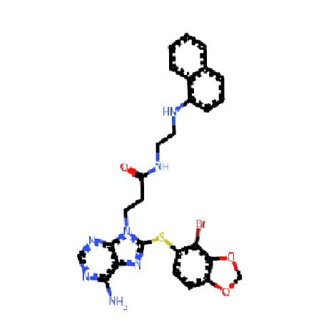 Nc1ncnc2c1nc(Sc1ccc3c(c1Br)OCO3)n2CCC(=O)NCCNc1cccc2ccccc12